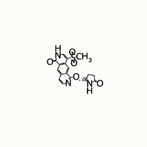 CS(=O)(=O)c1c[nH]c(=O)c2cc3ccnc(OC[C@@H]4CCC(=O)N4)c3cc12